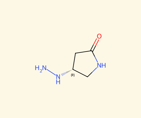 NN[C@H]1CNC(=O)C1